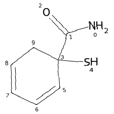 NC(=O)C1(S)C=CC=CC1